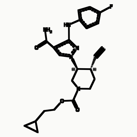 C#C[C@@H]1CCN(C(=O)OCCC2CC2)C[C@H]1n1cc(C(N)=O)c(Nc2ccc(F)cc2)n1